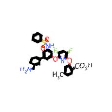 Cc1ccc(C(=O)O)c(Oc2nc(Oc3cc(NS(=O)(=O)c4ccccc4)cc(-c4cccc(CN)c4)c3)c(F)cc2F)c1